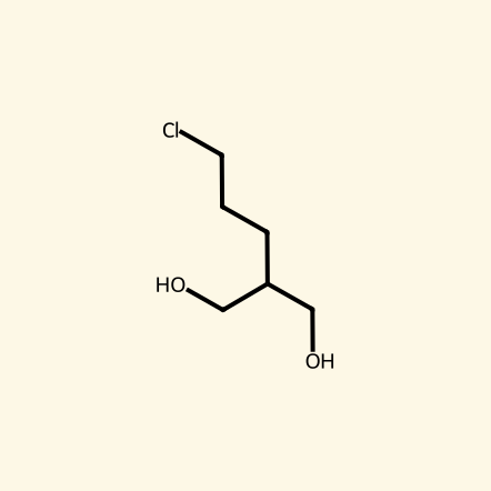 OCC(CO)CCCCl